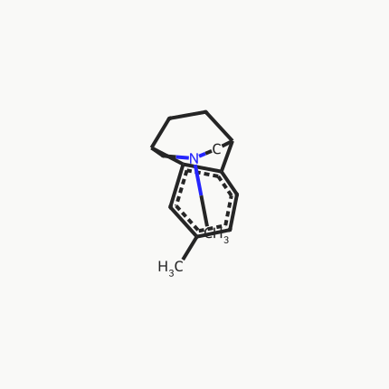 Cc1ccc2c(c1)C1CCC2CN(C)C1